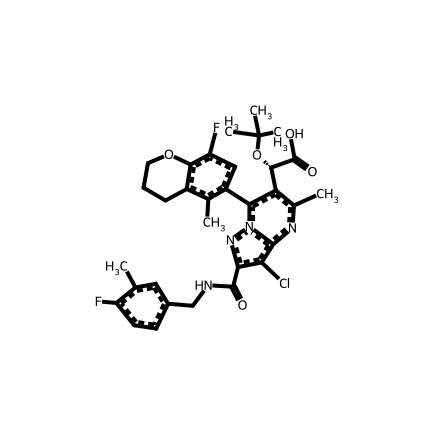 Cc1cc(CNC(=O)c2nn3c(-c4cc(F)c5c(c4C)CCCO5)c([C@H](OC(C)(C)C)C(=O)O)c(C)nc3c2Cl)ccc1F